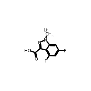 Cn1nc(C(=O)O)c2c(F)cc(F)cc21.[Li]